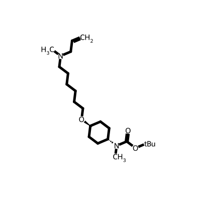 C=CCN(C)CCCCCCO[C@H]1CC[C@H](N(C)C(=O)OC(C)(C)C)CC1